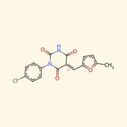 Cc1ccc(/C=C2\C(=O)NC(=O)N(c3ccc(Cl)cc3)C2=O)o1